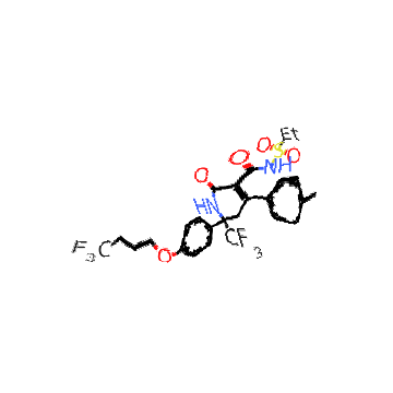 CCS(=O)(=O)NC(=O)C1=C(c2ccc(C)cc2)CC(c2ccc(OCCCC(F)(F)F)cc2)(C(F)(F)F)NC1=O